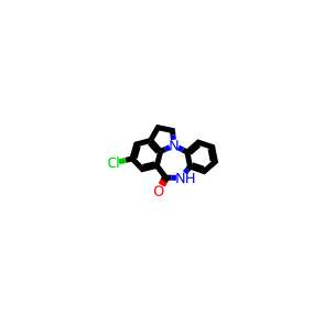 O=C1Nc2ccccc2N2CCc3cc(Cl)cc1c32